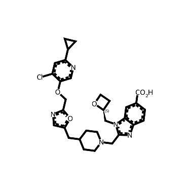 O=C(O)c1ccc2nc(CN3CCC(Cc4cnc(COc5cnc(C6CC6)cc5Cl)o4)CC3)n(C[C@@H]3CCO3)c2c1